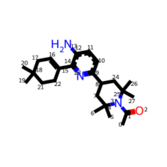 CC(=O)N1C(C)(C)CC(c2ccc(N)c(C3=CCC(C)(C)CC3)n2)CC1(C)C